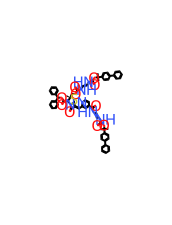 CC(C)(OC(=O)NCCNC(=O)OC[C@]1(C)SC2/C(=C\c3cc(C(=O)NCCNC(=O)OC(C)(C)c4ccc(-c5ccccc5)cc4)ccn3)C(=O)N2[C@H]1C(=O)OC(c1ccccc1)c1ccccc1)c1ccc(-c2ccccc2)cc1